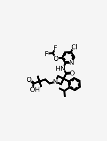 CC(C)c1ccccc1C1(C(=O)Nc2ncc(Cl)cc2OC(F)F)CN(CCC(C)(C)C(=O)O)C1